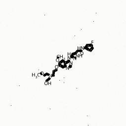 COCCN(CCO)CCCOc1cc2ncnc(Nc3cc(CC(=O)Nc4cccc(F)c4)[nH]n3)c2cc1OC